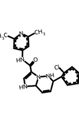 Cc1cc(NC(=O)C2=CNC3C=CC(c4ccccc4Cl)NN23)cc(C)n1